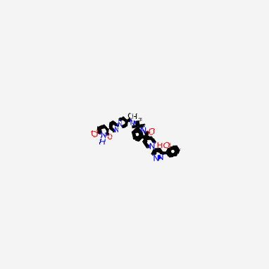 C[C@H](C1CCN(c2ccc([C@H]3CCC(=O)NC3=O)cn2)CC1)N1CC2(CN(C(=O)C3(c4ccccc4)CCN(c4cnnc(-c5ccccc5O)c4)CC3)C2)C1